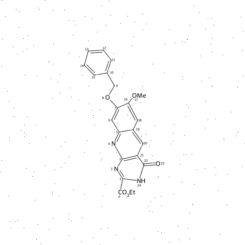 CCOC(=O)c1nc2nc3cc(OCc4ccccc4)c(OC)cc3cc2c(=O)[nH]1